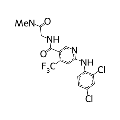 CNC(=O)CNC(=O)c1cnc(Nc2ccc(Cl)cc2Cl)cc1C(F)(F)F